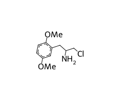 COc1ccc(OC)c(CC(N)CCl)c1